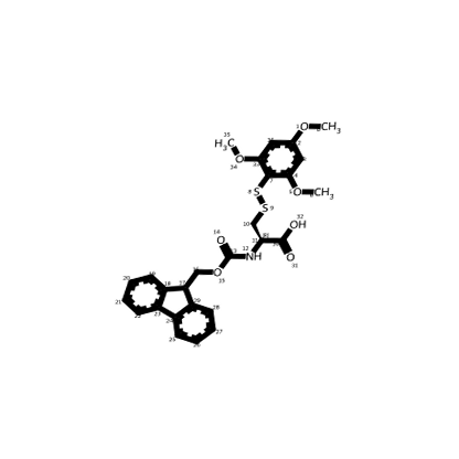 COc1cc(OC)c(SSC[C@H](NC(=O)OCC2c3ccccc3-c3ccccc32)C(=O)O)c(OC)c1